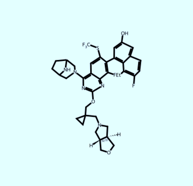 CCc1c(F)ccc2cc(O)cc(-c3c(SC(F)(F)F)cc4c(N5CC6CCC(C5)N6)nc(OCC5(CN6C[C@H]7COC[C@@H]7C6)CC5)nc4c3F)c12